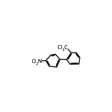 O=[N+]([O-])c1ccc(-c2[c]cccc2C(Cl)(Cl)Cl)cc1